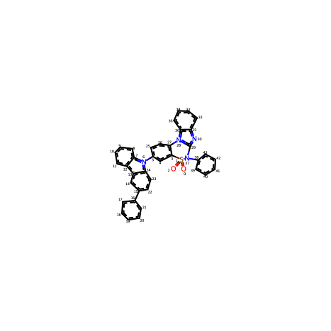 O=S1(=O)c2cc(-n3c4ccccc4c4cc(-c5ccccc5)ccc43)ccc2-n2c(nc3ccccc32)N1c1ccccc1